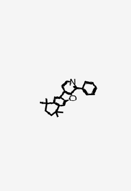 CC1(C)CCC(C)(C)c2cc3c(cc21)oc1c(-c2ccccc2)nccc13